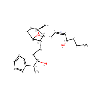 CCC[C@H](O)/C=C\C[C@@H]1[C@H](CCC(O)C(C)c2ccccc2)C2CC[C@H]1O2